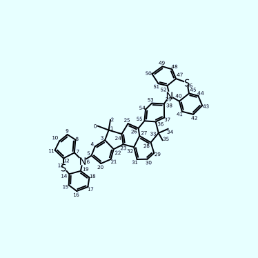 CC1(C)c2cc(N3c4ccccc4Sc4ccccc43)ccc2-c2c1cc1c3c(cccc23)C(C)(C)c2cc(N3c4ccccc4Sc4ccccc43)ccc2-1